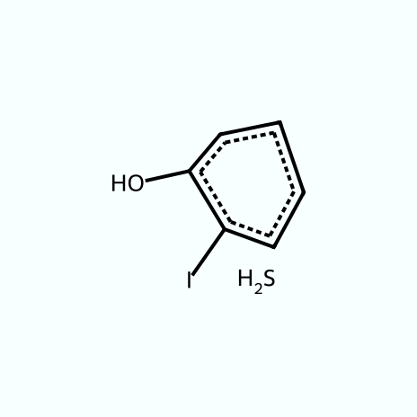 Oc1ccccc1I.S